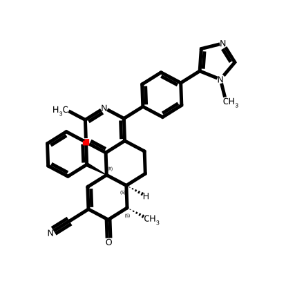 Cc1nc(-c2ccc(-c3cncn3C)cc2)c2c(n1)[C@@]1(c3ccccc3)C=C(C#N)C(=O)[C@@H](C)[C@@H]1CC2